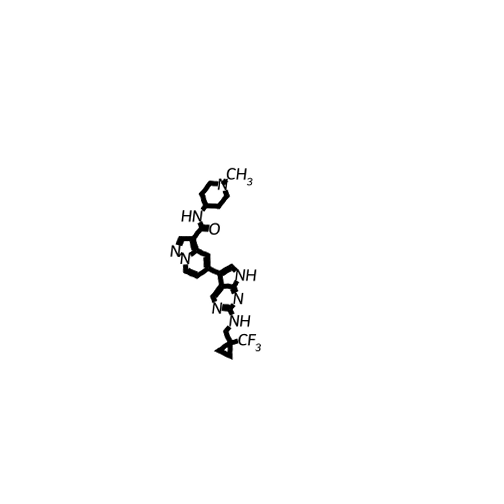 CN1CCC(NC(=O)c2cnn3ccc(-c4c[nH]c5nc(NCC6(C(F)(F)F)CC6)ncc45)cc23)CC1